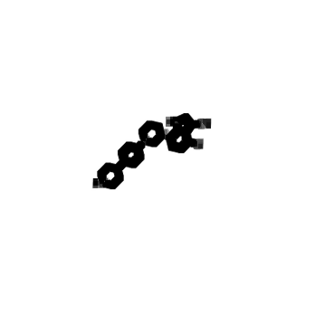 N#Cc1c[nH]c2c([C@H]3CCCN(c4ccc(C5CCNCC5)cc4)C3)ccc(Cl)c12